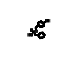 O=P(O)(Cc1ccccc1)OCc1ccc(O)cc1